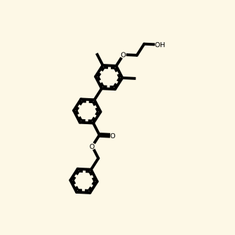 Cc1cc(-c2cccc(C(=O)OCc3ccccc3)c2)cc(C)c1OCCO